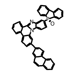 O=P1(c2ccc3c(c2)nc2c4ccccc4c4ccc(-c5ccc6c(ccc7ccccc76)c5)cc4n32)c2ccccc2-c2ccccc21